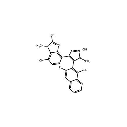 Cl.Cn1ncc(-c2ccc(Cl)c3c2nc(N)n3C)c1-c1c(F)cc2ccccc2c1C#N